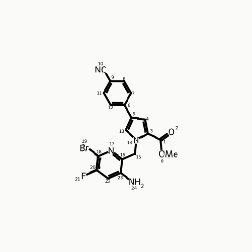 COC(=O)c1cc(-c2ccc(C#N)cc2)cn1Cc1nc(Br)c(F)cc1N